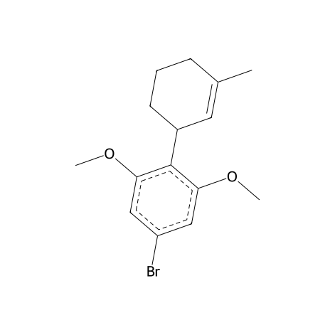 COc1cc(Br)cc(OC)c1C1C=C(C)CCC1